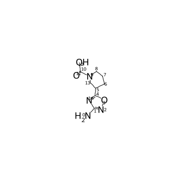 Nc1noc(C2CCCN(C(=O)O)C2)n1